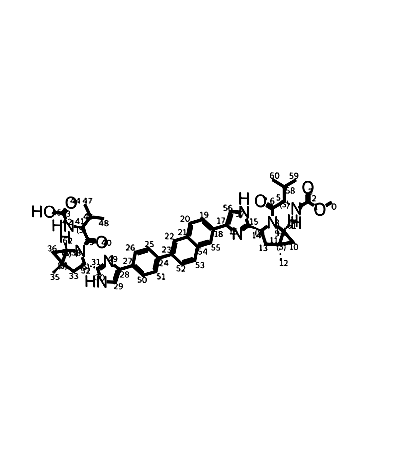 COC(=O)N[C@H](C(=O)N1[C@H]2C[C@@]2(C)C[C@H]1c1nc(-c2ccc3cc(-c4ccc(-c5c[nH]c([C@@H]6C[C@]7(C)C[C@@H]7N6C(=O)[C@@H](NC(=O)O)C(C)C)n5)cc4)ccc3c2)c[nH]1)C(C)C